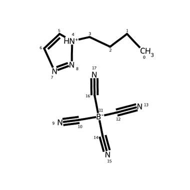 CCCC[NH+]1C=CN=N1.N#C[B-](C#N)(C#N)C#N